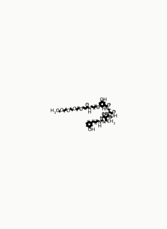 CCOCCOCCOCCOCCC(=O)NCCCOc1cc(O)cc(C(=O)NC[C@H](NC(=O)c2c(C)nc(NCCCc3cccc(O)c3)nc2C)C(=O)O)c1